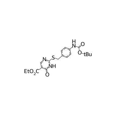 CCOC(=O)c1cnc(SCc2ccc(NC(=O)OC(C)(C)C)cc2)[nH]c1=O